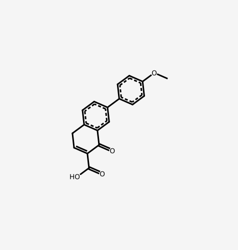 COc1ccc(-c2ccc3c(c2)C(=O)C(C(=O)O)=CC3)cc1